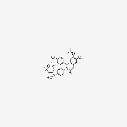 COc1cc2c(cc1OC(C)C)[C@H](c1ccc(Cl)cc1)N(c1ccc([C@@](C)(O)C3CC(C)(C)OC(C)(C)C3)cc1)C(=O)C2